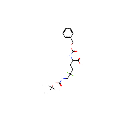 CC(C)(C)OC(=O)NCC(F)(F)CCC(NC(=O)OCc1ccccc1)C(=O)O